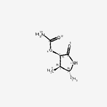 C[C@@H]1[C@@H](C)NC(=O)[C@@H]1OC(N)=O